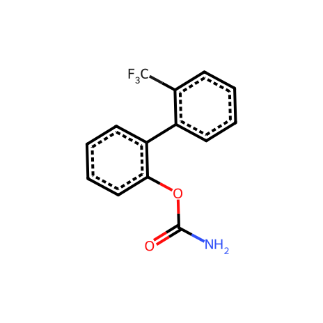 NC(=O)Oc1ccccc1-c1ccccc1C(F)(F)F